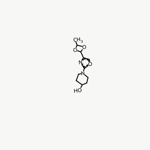 CC1OC(c2coc(N3CCC(O)CC3)n2)O1